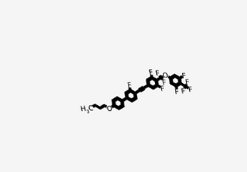 CCCCOc1ccc(-c2ccc(C#Cc3cc(F)c(C(F)(F)Oc4cc(F)c(C(F)(F)F)c(F)c4)c(F)c3)c(F)c2)cc1